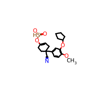 COc1ccc(C2(C#N)CC=C(O[SH](=O)=O)CC2)cc1OC1CCCC1